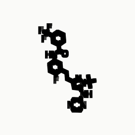 CC(C)(C)n1nc(CCc2cc(NC(=O)c3cccc(C(F)(F)F)c3)ccc2F)cc1Nc1cnccn1